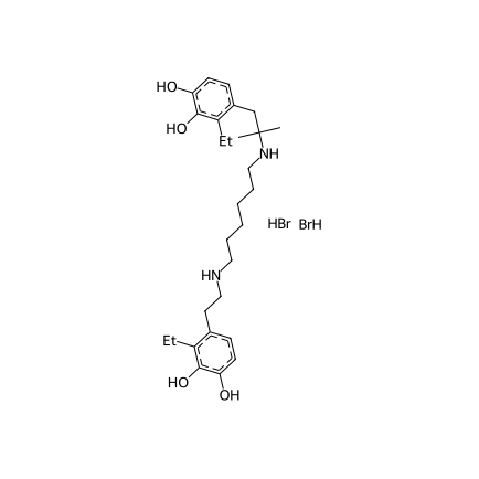 Br.Br.CCc1c(CCNCCCCCCNC(C)(C)Cc2ccc(O)c(O)c2CC)ccc(O)c1O